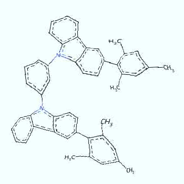 Cc1cc(C)c(-c2ccc3c(c2)c2ccccc2n3-c2cccc(-n3c4ccccc4c4cc(-c5c(C)cc(C)cc5C)ccc43)c2)c(C)c1